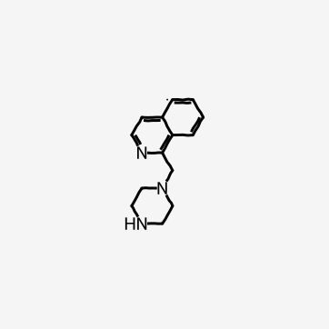 [c]1cccc2c(CN3CCNCC3)nccc12